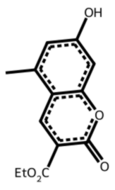 CCOC(=O)c1cc2c(C)cc(O)cc2oc1=O